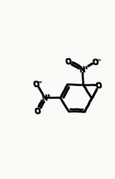 O=[N+]([O-])C1=CC2([N+](=O)[O-])OC2C=C1